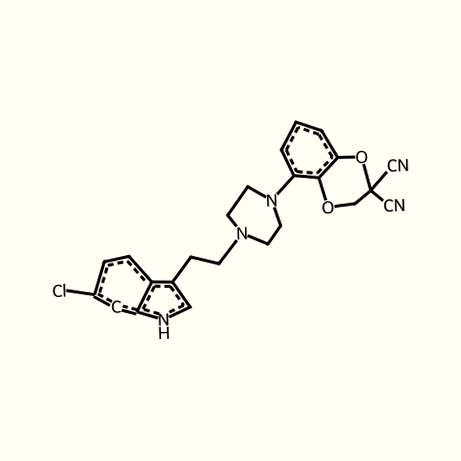 N#CC1(C#N)COc2c(cccc2N2CCN(CCc3c[nH]c4cc(Cl)ccc34)CC2)O1